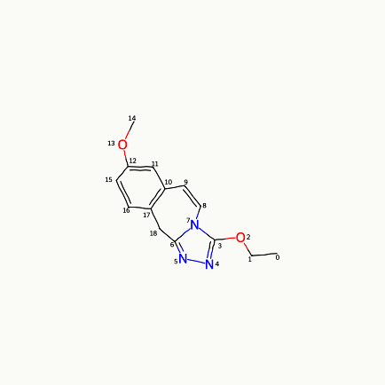 CCOc1nnc2n1C=Cc1cc(OC)ccc1C2